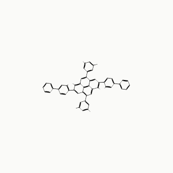 Fc1cc(F)cc(-c2cc3c4oc5cc(-c6ccccc6)ccc5c4cc4c(-c5cc(F)cc(F)c5)cc5c6oc7cc(-c8ccccc8)ccc7c6cc2c5c43)c1